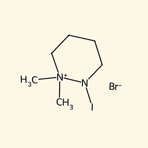 C[N+]1(C)CCCCN1I.[Br-]